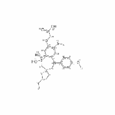 CCCC[C@@]1(CC)CN(c2ccc(OC)cc2)c2cc(SC)c(OCC(=O)O)cc2S(O)(O)C1